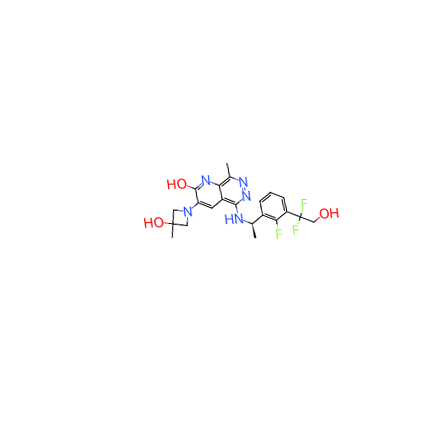 Cc1nnc(N[C@H](C)c2cccc(C(F)(F)CO)c2F)c2cc(N3CC(C)(O)C3)c(O)nc12